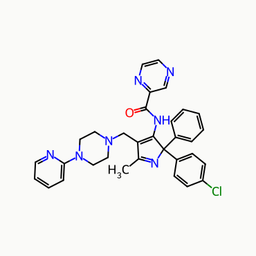 CC1=NC(c2ccccc2)(c2ccc(Cl)cc2)C(NC(=O)c2cnccn2)=C1CN1CCN(c2ccccn2)CC1